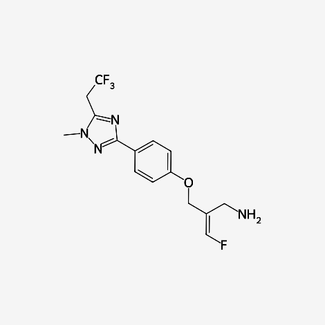 Cn1nc(-c2ccc(OC/C(=C/F)CN)cc2)nc1CC(F)(F)F